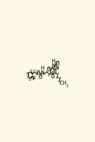 CCCCCn1c(=O)n(CCCNC(=O)OCCc2ccccc2F)c(=O)c2[nH]c(Cl)nc21